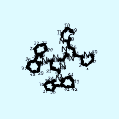 c1ccc(-c2cc(-c3ccccn3)nc(-c3nc(-n4c5ccccc5c5ccccc54)cc(-n4c5ccccc5c5ccccc54)n3)n2)nc1